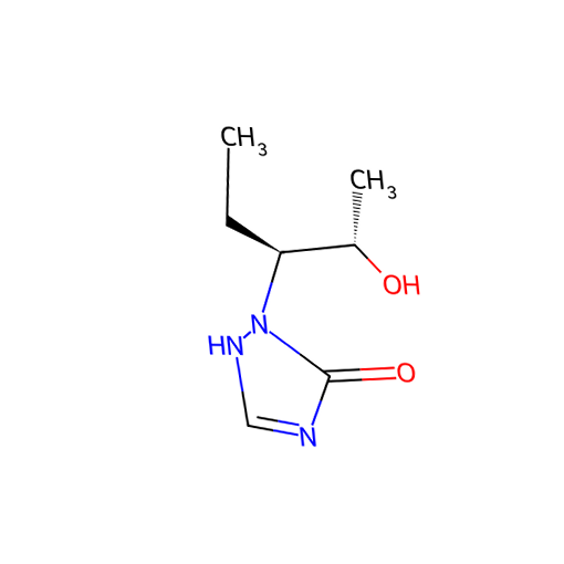 CC[C@@H]([C@H](C)O)n1[nH]cnc1=O